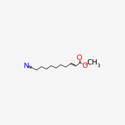 COC(=O)/C=C/CCCCCCCC#N